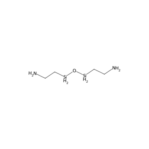 NCC[SiH2]O[SiH2]CCN